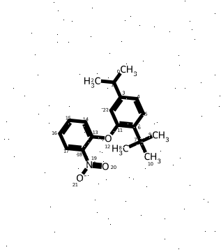 CC(C)c1ccc(C(C)(C)C)c(Oc2ccccc2[N+](=O)[O-])c1